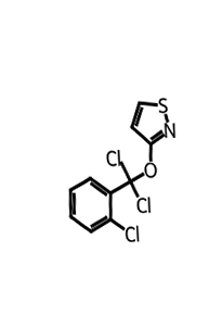 Clc1ccccc1C(Cl)(Cl)Oc1ccsn1